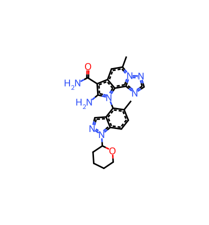 Cc1ccc2c(cnn2C2CCCCO2)c1-n1c(N)c(C(N)=O)c2cc(C)n3ncnc3c21